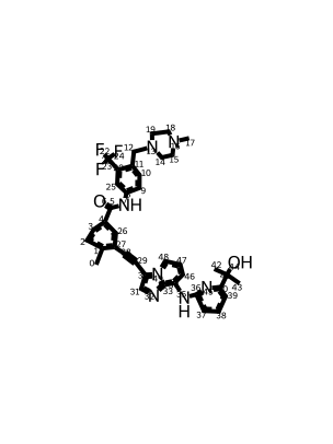 Cc1ccc(C(=O)Nc2ccc(CN3CCN(C)CC3)c(C(F)(F)F)c2)cc1C#Cc1cnc2c(Nc3cccc(C(C)(C)O)n3)cccn12